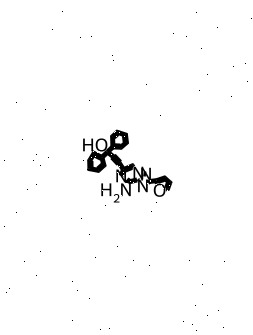 Nc1nc(C#CC(O)(c2ccccc2)c2ccccc2)cn2nc(-c3ccco3)nc12